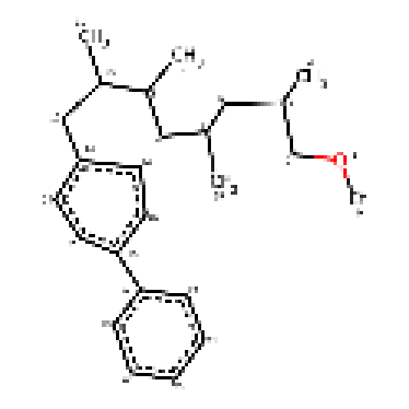 CCOCC(C)CC(CC(C)C(C)Cc1ccc(-c2ccccc2)cc1)C(F)(F)F